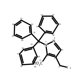 CCOC(=O)c1c(CI)cnn1C(c1ccccc1)(c1ccccc1)c1ccccc1